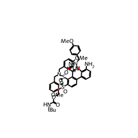 COc1ccc(CN(Cc2ccc(OC)cc2)S(=O)(=O)c2c(S(=O)(=O)CCOC(=O)NC(C)(C)C)ccc(-c3cccc(N)c3N)c2-c2nnn(Cc3ccc(OC)cc3)n2)cc1